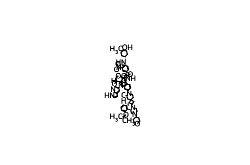 CC(C)Oc1ccccc1[C@@H]1CN(C2CCOCC2)CCN1C1CC2(CCN(c3ccc(C(=O)NS(=O)(=O)c4ccc(NC[C@H]5CC[C@](C)(O)CC5)c([N+](=O)[O-])c4)c(N4c5cc6cc[nH]c6nc5O[C@H]5COCC[C@@H]54)c3)[C@H](C)C2)C1